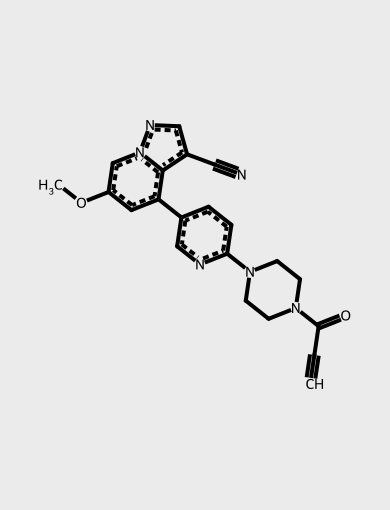 C#CC(=O)N1CCN(c2ccc(-c3cc(OC)cn4ncc(C#N)c34)cn2)CC1